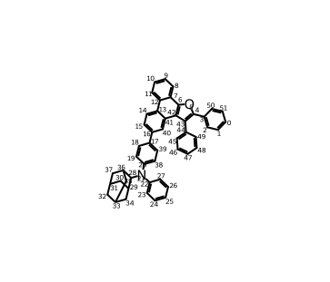 c1ccc(-c2oc3c4ccccc4c4ccc(-c5ccc(N(c6ccccc6)C6C7CC8CC(C7)CC6C8)cc5)cc4c3c2-c2ccccc2)cc1